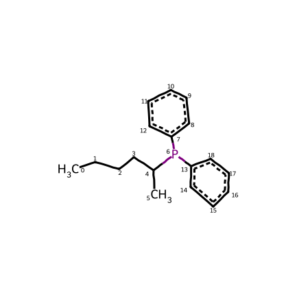 CCCCC(C)P(c1ccccc1)c1ccccc1